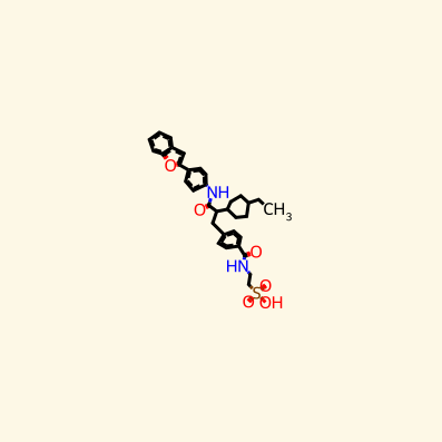 CCC1CCC(C(Cc2ccc(C(=O)NCCS(=O)(=O)O)cc2)C(=O)Nc2ccc(-c3cc4ccccc4o3)cc2)CC1